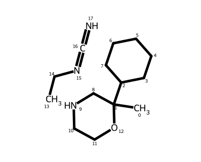 CC1(C2CCCCC2)CNCCO1.CCN=C=N